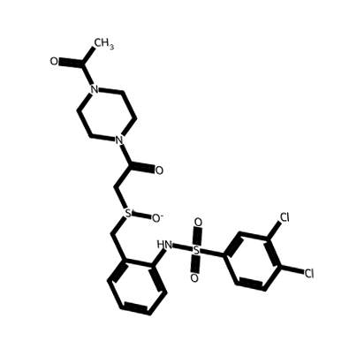 CC(=O)N1CCN(C(=O)C[S+]([O-])Cc2ccccc2NS(=O)(=O)c2ccc(Cl)c(Cl)c2)CC1